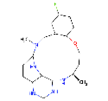 C[C@@H]1CCOC2CCC(F)CC2CN(C)C2CCC3NCNC(N1)C3N2